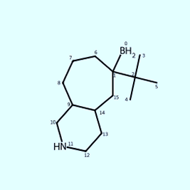 BC1(C(C)(C)C)CCCC2CNCCC2C1